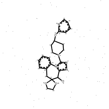 ClC1c2nnc(N3CCC(Oc4ccccn4)CC3)n2-c2ccccc2CC12OCCO2